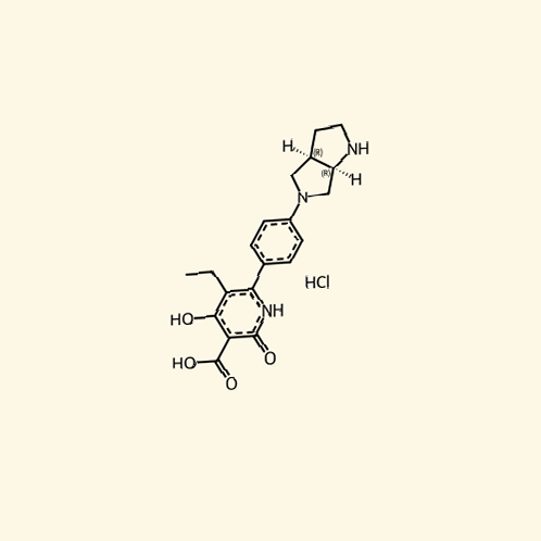 CCc1c(-c2ccc(N3C[C@H]4CCN[C@H]4C3)cc2)[nH]c(=O)c(C(=O)O)c1O.Cl